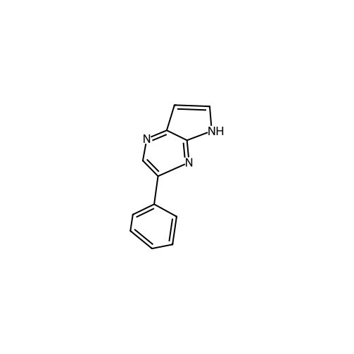 c1ccc(-c2cnc3cc[nH]c3n2)cc1